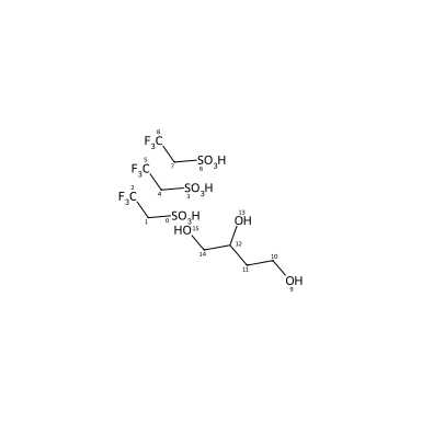 O=S(=O)(O)CC(F)(F)F.O=S(=O)(O)CC(F)(F)F.O=S(=O)(O)CC(F)(F)F.OCCC(O)CO